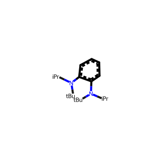 CC(C)N(c1ccccc1N(C(C)C)C(C)(C)C)C(C)(C)C